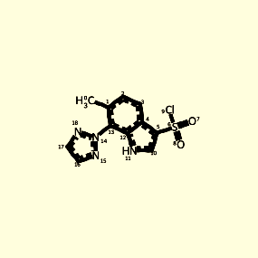 Cc1ccc2c(S(=O)(=O)Cl)c[nH]c2c1-n1nccn1